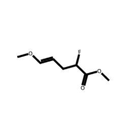 COC=CCC(F)C(=O)OC